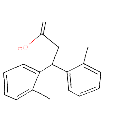 C=C(O)CC(c1ccccc1C)c1ccccc1C